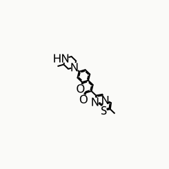 Cc1cn2cc(-c3cc4ccc(N5CCNC(C)C5)cc4oc3=O)nc2s1